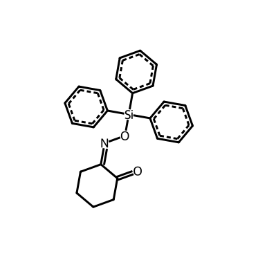 O=C1CCCCC1=NO[Si](c1ccccc1)(c1ccccc1)c1ccccc1